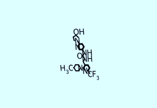 CC1CCN(c2nc(C(F)(F)F)ccc2CNC(=O)Nc2ccc(N3CC[C@@H](O)C3)nc2)CC1